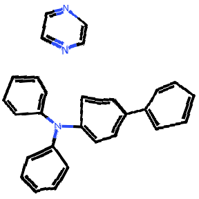 c1ccc(-c2ccc(N(c3ccccc3)c3ccccc3)cc2)cc1.c1cnccn1